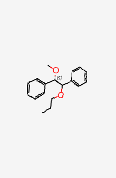 CCCOC(c1ccccc1)[C@@H](OC)c1ccccc1